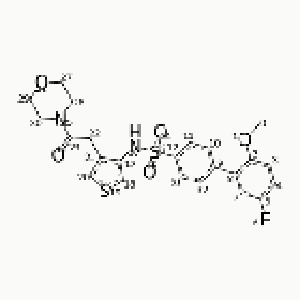 COc1ccc(F)cc1-c1ccc(S(=O)(=O)Nc2cscc2CC(=O)N2CCOCC2)cc1